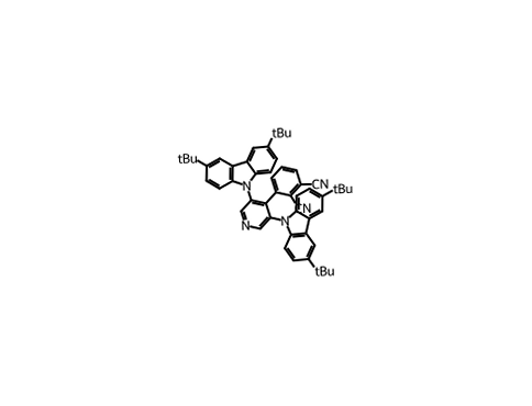 CC(C)(C)c1ccc2c(c1)c1cc(C(C)(C)C)ccc1n2-c1cncc(-n2c3ccc(C(C)(C)C)cc3c3cc(C(C)(C)C)ccc32)c1-c1cccc(C#N)c1C#N